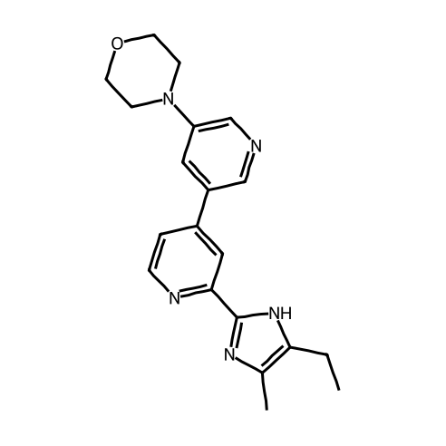 CCc1[nH]c(-c2cc(-c3cncc(N4CCOCC4)c3)ccn2)nc1C